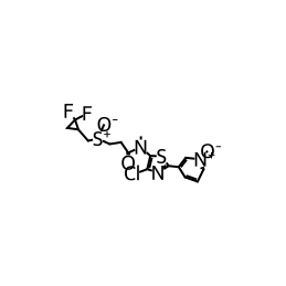 CN(C(=O)CC[S+]([O-])CC1CC1(F)F)c1sc(-c2ccc[n+]([O-])c2)nc1Cl